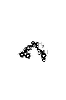 CN(CCCCC(=O)Nc1ccc(C=O)cc1)C(=O)CCN1CCC2(CC1)CC(c1ccccc1-c1ccccc1)C2